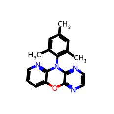 Cc1cc(C)c(N2c3ncccc3Oc3nccnc32)c(C)c1